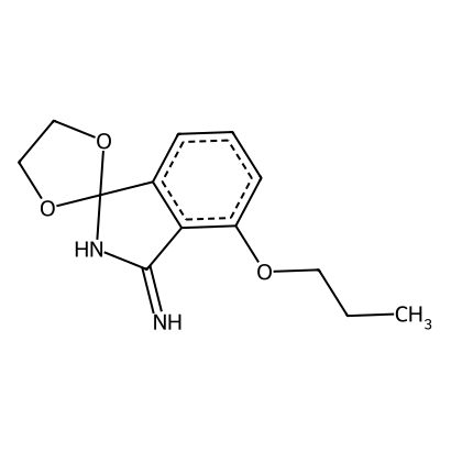 CCCOc1cccc2c1C(=N)NC21OCCO1